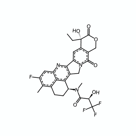 CC[C@@]1(O)C(=O)OCc2c1cc1n(c2=O)Cc2c-1nc1cc(F)c(C)c3c1c2[C@@H](N(C)C(=O)[C@@H](O)C(F)(F)F)CC3